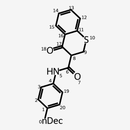 CCCCCCCCCCc1ccc(NC(=O)C2CSc3ccccc3C2=O)cc1